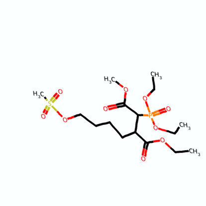 CCOC(=O)C(CCCCOS(C)(=O)=O)C(C(=O)OC)P(=O)(OCC)OCC